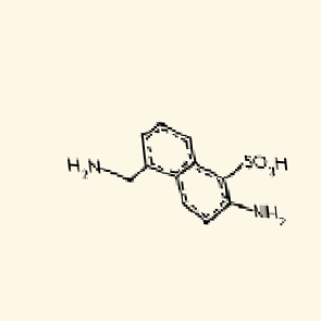 NCc1cccc2c(S(=O)(=O)O)c(N)ccc12